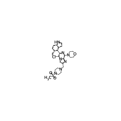 CS(=O)(=O)N1CCN(Cc2cn3c(Cl)c(-c4c(F)ccc5[nH]ccc45)nc(N4CCOCC4)c3n2)CC1